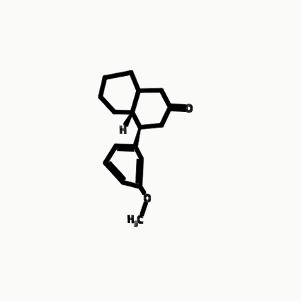 COc1cccc([C@@H]2CC(=O)CC3CCCC[C@H]32)c1